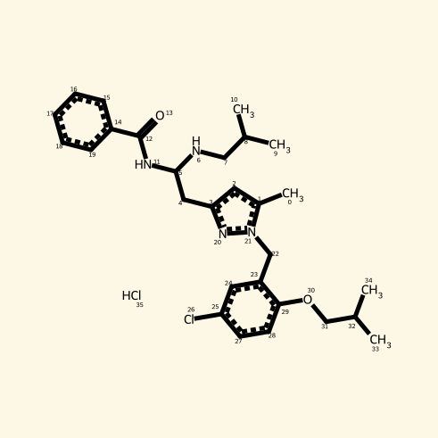 Cc1cc(CC(NCC(C)C)NC(=O)c2ccccc2)nn1Cc1cc(Cl)ccc1OCC(C)C.Cl